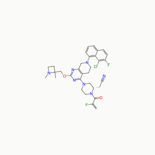 C=C(F)C(=O)N1CCN(c2nc(OCC3(C)CCN3C)nc3c2CCN(c2cccc4ccc(F)c(Cl)c24)C3)C[C@@H]1CC#N